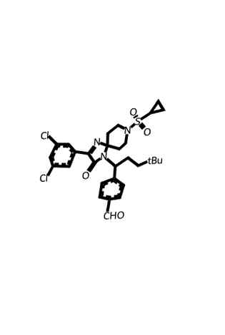 CC(C)(C)CCC(c1ccc(C=O)cc1)N1C(=O)C(c2cc(Cl)cc(Cl)c2)=NC12CCN(S(=O)(=O)C1CC1)CC2